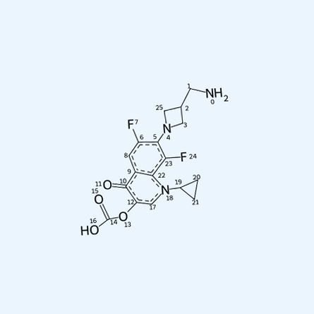 NCC1CN(c2c(F)cc3c(=O)c(OC(=O)O)cn(C4CC4)c3c2F)C1